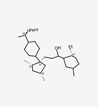 CCCCC[C@H](C)C1CCC([C@@]2(CCC(O)C3CC(C)CC[C@H]3CC)C[C@H](C)C[C@@H]2C)CC1